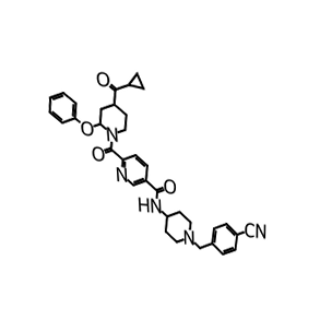 N#Cc1ccc(CN2CCC(NC(=O)c3ccc(C(=O)N4CCC(C(=O)C5CC5)CC4Oc4ccccc4)nc3)CC2)cc1